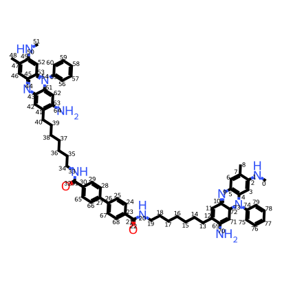 CNc1cc2c(cc1C)N=C1C=C(CCCCCCCNC(=O)c3ccc(-c4ccc(C(=O)NCCCCCCCc5cc6nc7cc(C)c(NC)cc7[n+](-c7ccccc7)c6cc5N)cc4)cc3)C(N)=CC1N2c1ccccc1